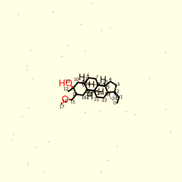 C/C=C1/CC[C@H]2[C@@H]3CC[C@@H]4CC(C)(O)C(COC)C[C@@H]4[C@H]3CC[C@]12C